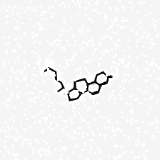 CC(=O)[C@@H](C)CCCC(C)[C@H]1CCC2C3C=CC4=CC(=O)CC[C@]4(C)C3CC[C@@]21C